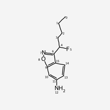 CCCCC(F)c1noc2cc(N)ccc12